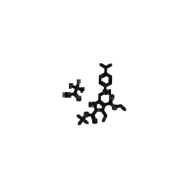 CCOC(=O)c1c(CNc2ccc(C(C)C)cc2)[nH]c(C(=O)OC(C)(C)C)c1CC.O=C(O)C(F)(F)F